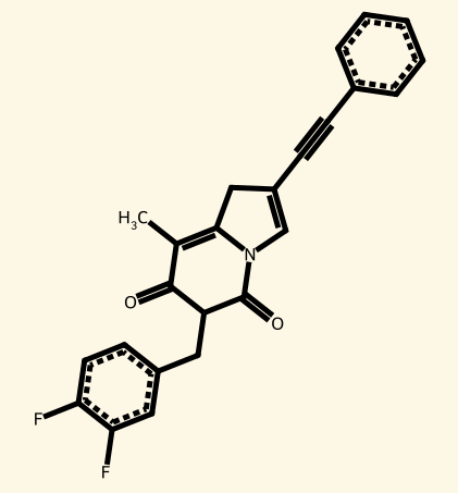 CC1=C2CC(C#Cc3ccccc3)=CN2C(=O)C(Cc2ccc(F)c(F)c2)C1=O